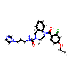 C[C@@H]1CN(C(=O)c2ccc(OCC(F)(F)F)cc2Cl)c2ccccc2CN1C(=O)NCCCn1ccnc1